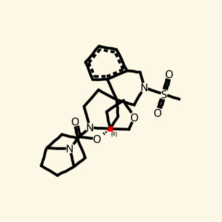 CS(=O)(=O)N1Cc2ccccc2C2(CCN(C3CC4CCC(C3)N4C(=O)O[C@@H]3CCOC3)CC2)C1